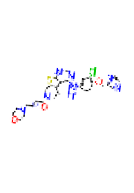 O=C(/C=C/CN1CCOCC1)N1CCc2c(sc3ncnc(Nc4ccc(OCc5cnccn5)c(Cl)c4)c23)C1